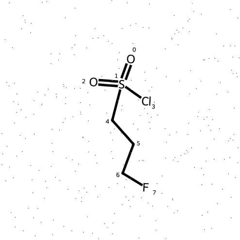 O=S(=O)(Cl)CCCF